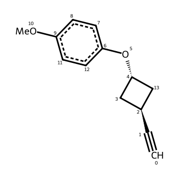 C#C[C@H]1C[C@H](Oc2ccc(OC)cc2)C1